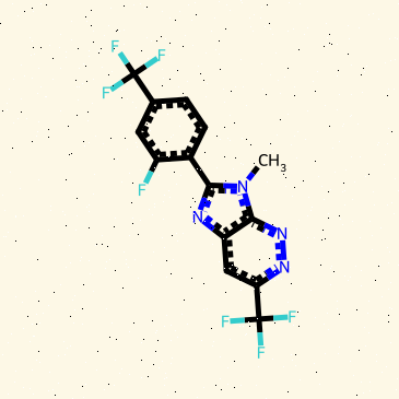 Cn1c(-c2ccc(C(F)(F)F)cc2F)nc2cc(C(F)(F)F)nnc21